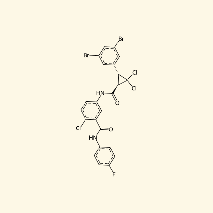 O=C(Nc1ccc(F)cc1)c1cc(NC(=O)[C@H]2[C@H](c3cc(Br)cc(Br)c3)C2(Cl)Cl)ccc1Cl